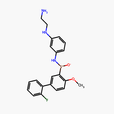 COc1ccc(-c2ccccc2F)cc1[S+]([O-])Nc1cccc(NCCN)c1